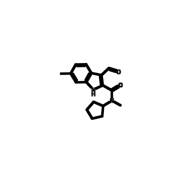 Cc1ccc2c(C=O)c(C(=O)N(C)C3CCCC3)[nH]c2c1